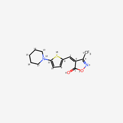 O=C1ON=C(C(F)(F)F)C1=Cc1ccc(N2CCCCC2)s1